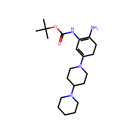 CC(C)(C)OC(=O)NC1=C(N)CCC(N2CCC(N3CCCCC3)CC2)=C1